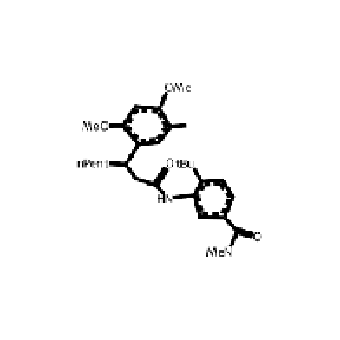 CCCCCC(CC(=O)Nc1cc(C(=O)NC)ccc1C(C)(C)C)c1cc(C)c(OC)cc1OC